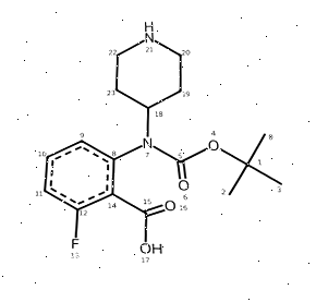 CC(C)(C)OC(=O)N(c1cccc(F)c1C(=O)O)C1CCNCC1